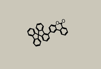 O=c1oc2ccc(-c3cccc4c3-c3ccccc3C43c4ccccc4-c4ccccc43)cc2c2ccccc12